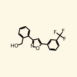 OCc1ccccc1-c1cc(-c2cccc(C(F)(F)F)c2)on1